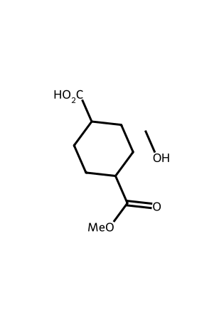 CO.COC(=O)C1CCC(C(=O)O)CC1